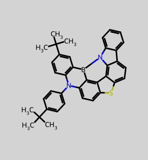 CC(C)(C)c1ccc(N2c3ccc(C(C)(C)C)cc3B3c4c2ccc2sc5ccc6c7ccccc7n3c6c5c42)cc1